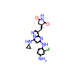 Nc1ccc(Nc2cc(NC3CC3)n3ncc(/C=C4\CC(=O)NC4=O)c3n2)c(F)c1